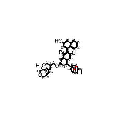 CCC(COc1nc(N2CC3CCC(C2)NC3)c2cc(Cl)c(-c3cc(O)cc4ccccc34)c(F)c2n1)CN1C2CCC1COC2